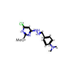 COc1nc(Cl)cc(N/N=C/c2ccc(N(C)C)cc2)n1